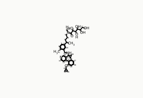 Cc1ccc(C(C)CCCN(C)C(=O)C(O)C(O)C(O)C(O)CO)cc1CNC1(c2cnccc2-c2ccccc2OC2CC2)CC1